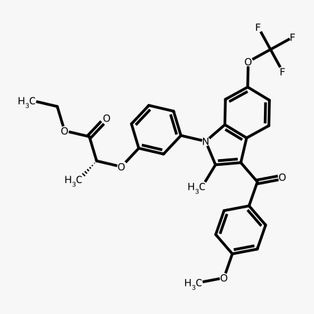 CCOC(=O)[C@@H](C)Oc1cccc(-n2c(C)c(C(=O)c3ccc(OC)cc3)c3ccc(OC(F)(F)F)cc32)c1